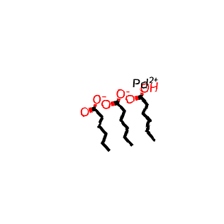 CCCCCC(=O)O.CCCCCC(=O)[O-].CCCCCC(=O)[O-].[Pd+2]